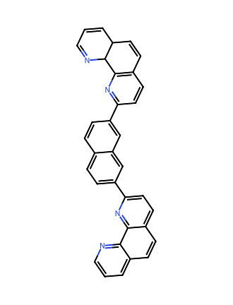 C1=CC2C=Cc3ccc(-c4ccc5ccc(-c6ccc7ccc8cccnc8c7n6)cc5c4)nc3C2N=C1